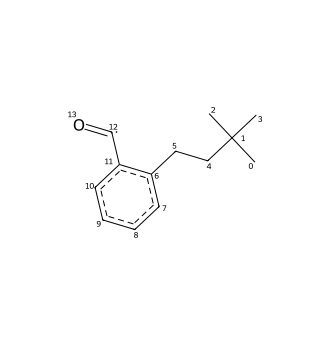 CC(C)(C)CCc1ccccc1[C]=O